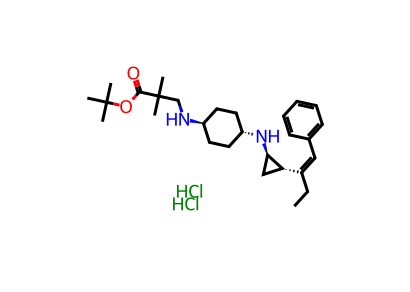 CCC(=Cc1ccccc1)[C@@H]1C[C@H]1N[C@H]1CC[C@H](NCC(C)(C)C(=O)OC(C)(C)C)CC1.Cl.Cl